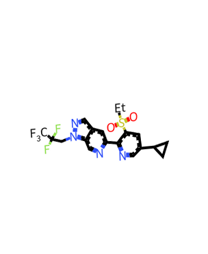 CCS(=O)(=O)c1cc(C2CC2)cnc1-c1cc2cnn(CC(F)(F)C(F)(F)F)c2cn1